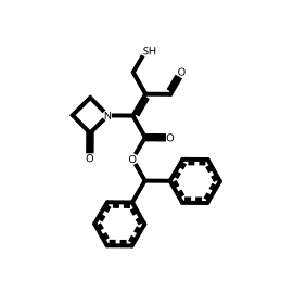 O=C/C(CS)=C(\C(=O)OC(c1ccccc1)c1ccccc1)N1CCC1=O